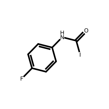 O=C(I)Nc1ccc(F)cc1